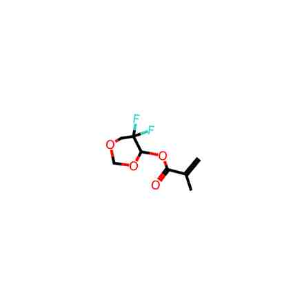 C=C(C)C(=O)OC1OCOCC1(F)F